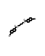 N#Cc1ccc2cc(C(=O)OCCCCCOC(=O)c3ccc4cc(C#N)ccc4c3)ccc2c1